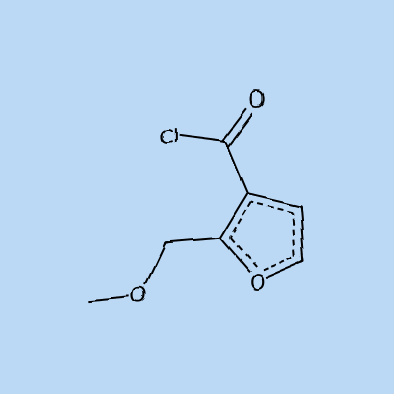 COCc1occc1C(=O)Cl